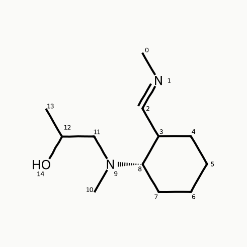 C/N=C/C1CCCC[C@@H]1N(C)CC(C)O